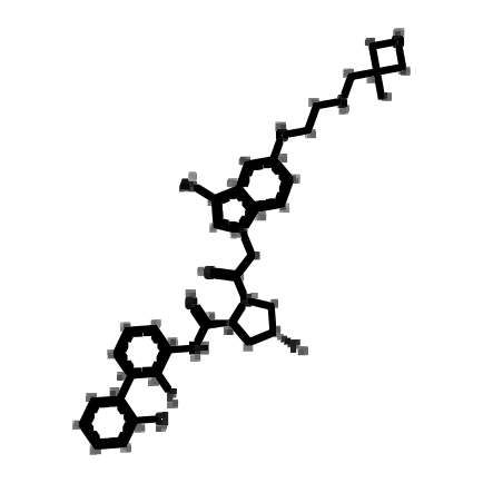 CC(=O)c1cn(CC(=O)N2C[C@H](F)C[C@H]2C(=O)Nc2cccc(-c3ccccc3Cl)c2F)c2ccc(OCCSCC3(C)COC3)cc12